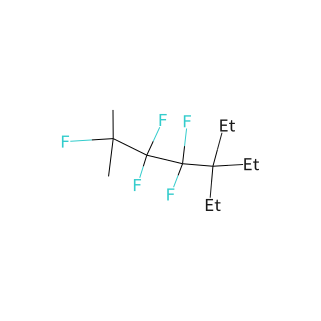 CCC(CC)(CC)C(F)(F)C(F)(F)C(C)(C)F